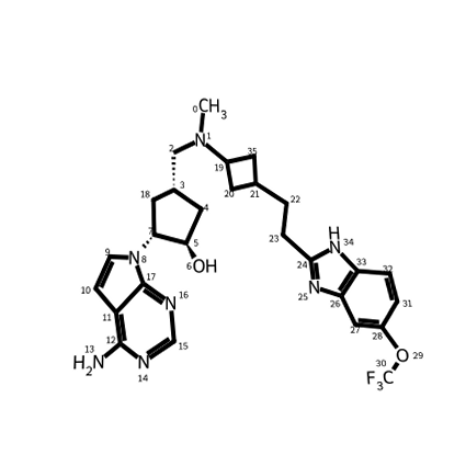 CN(C[C@@H]1C[C@@H](O)[C@H](n2ccc3c(N)ncnc32)C1)C1CC(CCc2nc3cc(OC(F)(F)F)ccc3[nH]2)C1